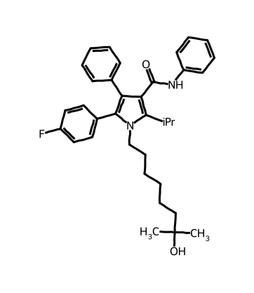 CC(C)c1c(C(=O)Nc2ccccc2)c(-c2ccccc2)c(-c2ccc(F)cc2)n1CCCCCCC(C)(C)O